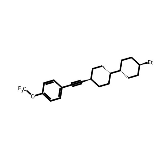 CC[C@H]1CC[C@H]([C@H]2CC[C@H](C#Cc3ccc(OC(F)(F)F)cc3)CC2)CC1